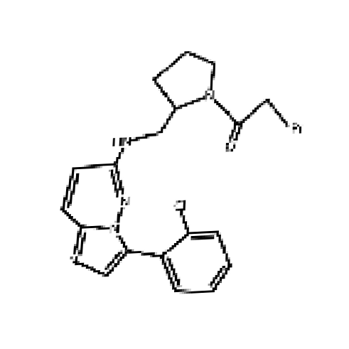 CC(C)CC(=O)N1CCCC1CNc1ccc2ncc(-c3ccccc3Cl)n2n1